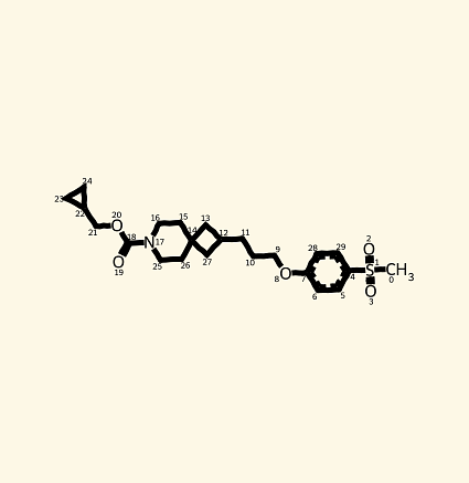 CS(=O)(=O)c1ccc(OCCCC2CC3(CCN(C(=O)OCC4CC4)CC3)C2)cc1